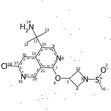 C[S+]([O-])N1CC(Oc2ncc(C(C)(C)N)c3cc(Cl)ncc23)C1